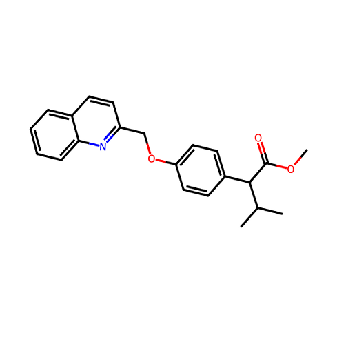 COC(=O)C(c1ccc(OCc2ccc3ccccc3n2)cc1)C(C)C